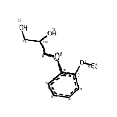 CCOc1ccccc1OCC(O)CO